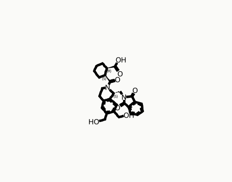 O=C(O)[C@@H]1CCCC[C@@H]1C(=O)N1CCc2cc(CO)c(CO)cc2[C@H]1CN1C(=O)c2ccccc2C1=O